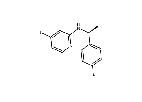 C[C@H](Nc1cc(I)ccn1)c1ccc(F)cn1